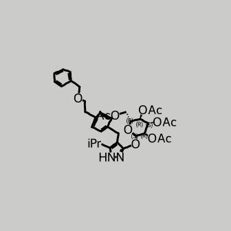 CC(=O)OC[C@H]1O[C@@H](Oc2n[nH]c(C(C)C)c2Cc2ccc(CCOCc3ccccc3)cc2)[C@H](OC(C)=O)[C@@H](OC(C)=O)[C@@H]1OC(C)=O